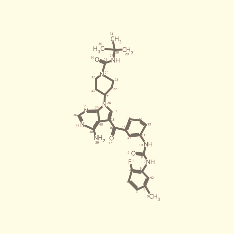 Cc1ccc(F)c(NC(=O)Nc2cccc(C(=O)c3cn(C4CCN(C(=O)NC(C)(C)C)CC4)c4ncnc(N)c34)c2)c1